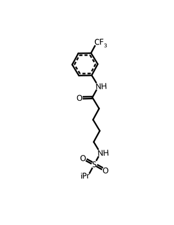 CC(C)S(=O)(=O)NCCCCC(=O)Nc1cccc(C(F)(F)F)c1